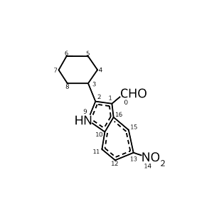 O=Cc1c(C2CCCCC2)[nH]c2ccc([N+](=O)[O-])cc12